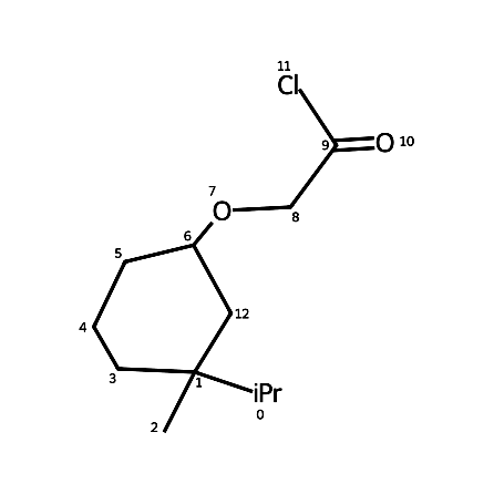 CC(C)C1(C)CCCC(OCC(=O)Cl)C1